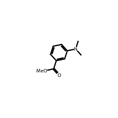 COC(=O)c1[c]ccc(N(C)C)c1